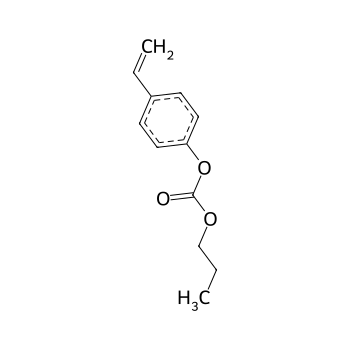 C=Cc1ccc(OC(=O)OCCC)cc1